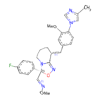 CO/N=C/[C@]1(c2ccc(F)cc2)ON=C2/C(=C/c3ccc(-n4cnc(C)c4)c(OC)c3)CCCN21